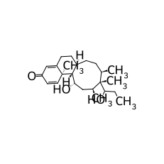 CCC(O)[C@@]1(C)[C@H](C)CC[C@@H]2CCC3=CC(=O)C=C[C@]3(C)[C@H]2[C@@H](O)C[C@@H]1C